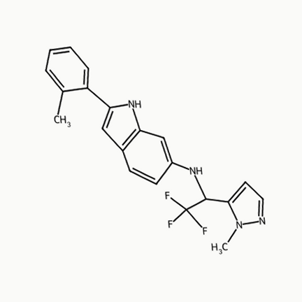 Cc1ccccc1-c1cc2ccc(NC(c3ccnn3C)C(F)(F)F)cc2[nH]1